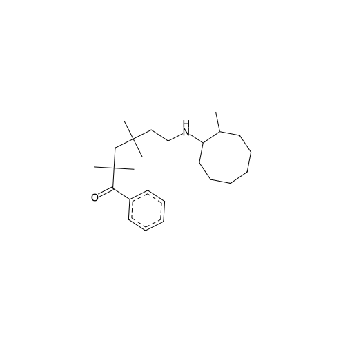 CC1CCCCCCC1NCCC(C)(C)CC(C)(C)C(=O)c1ccccc1